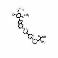 COc1cc(OC)c(-c2cn3ccc(N4CCN(c5cnc(N6CCCC(N(C)C(=O)O)C6)nc5)CC4)cc3n2)cc1Cl